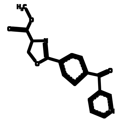 COC(=O)C1COC(c2ccc(C(=O)c3cccnc3)cc2)=N1